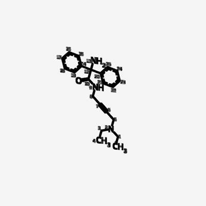 CCN(CC)CC#CCNC(=O)C(N)(c1ccccc1)c1ccccc1